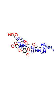 COc1ccc2c(c1)Oc1cc(OC)cc(C(NC(=O)[C@@H](NC(=O)[C@@H](N)CC(=O)O)C(C)C)(C(C)=O)C(=O)CNC(=O)[C@@H](N)CCCNC(=N)N)c1C2(C)C